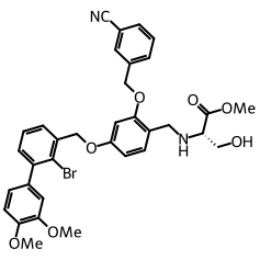 COC(=O)[C@H](CO)NCc1ccc(OCc2cccc(-c3ccc(OC)c(OC)c3)c2Br)cc1OCc1cccc(C#N)c1